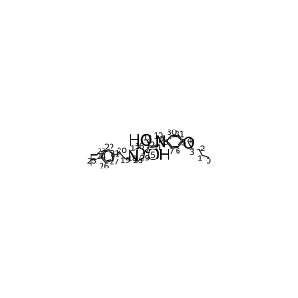 CCCCOc1ccc(N(C)CC(O)C2(O)CCN(CCc3ccc(F)cc3)CC2)cc1